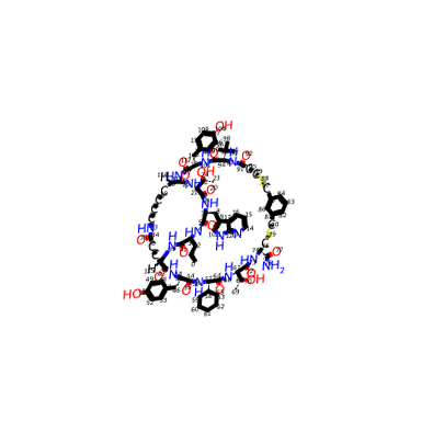 CCCC1NC(=O)[C@H](Cc2c[nH]c3ncccc23)NC(=O)[C@H]([C@@H](C)O)NC(=O)[C@@H]2CCCCNC(=O)CC[C@H](NC1=O)C(=O)N[C@@H](Cc1ccc(O)cc1)C(=O)N[C@@H](C1CCCCC1)C(=O)N[C@@H]([C@@H](C)O)C(=O)N[C@@H](C(N)=O)CSCc1cccc(c1)CSCCC(=O)N[C@@H](C(C)(C)C)C(=O)N[C@@H](Cc1ccc(O)cc1)C(=O)N2